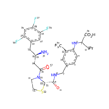 CC(C)C(Nc1ccc(CNC(=O)[C@@H]2SCCN2C(=O)C[C@H](N)Cc2cc(F)c(F)cc2F)cc1C(F)(F)F)C(=O)O